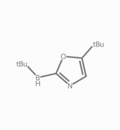 CC(C)(C)Bc1ncc(C(C)(C)C)o1